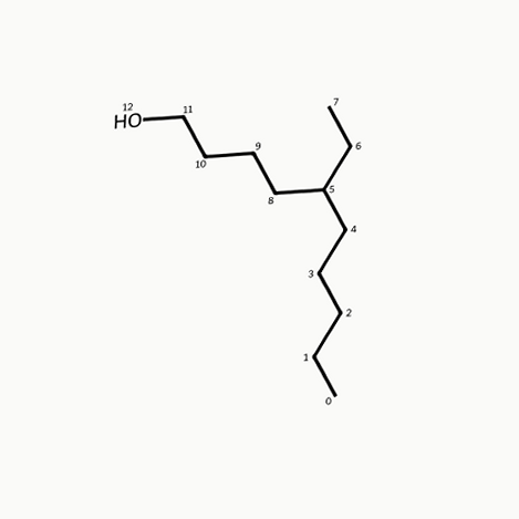 CCCCCC(CC)CCCCO